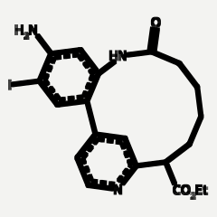 CCOC(=O)C1CCCCC(=O)Nc2cc(N)c(I)cc2-c2ccnc1c2